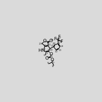 CC1=C(OC(=O)OC(C)C)C(c2cccc(C(F)(F)F)c2)C2=C(COC2=O)N1